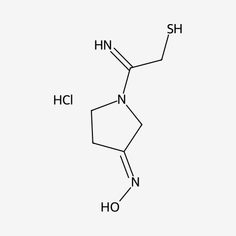 Cl.N=C(CS)N1CCC(=NO)C1